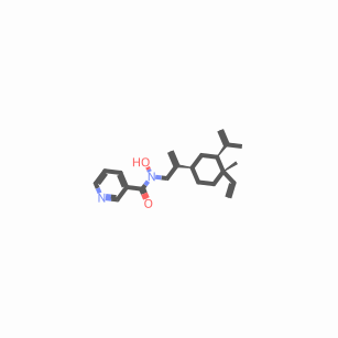 C=C[C@]1(C)CC[C@@H](C(=C)CN(O)C(=O)c2cccnc2)C[C@H]1C(=C)C